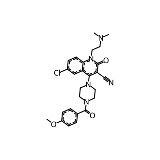 COc1ccc(C(=O)N2CCN(c3c(C#N)c(=O)n(CCN(C)C)c4ccc(Cl)cc34)CC2)cc1